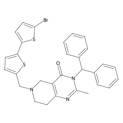 Cc1nc2c(c(=O)n1C(c1ccccc1)c1ccccc1)CN(Cc1ccc(-c3ccc(Br)s3)s1)CC2